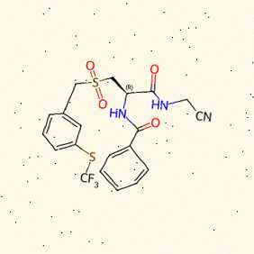 N#CCNC(=O)[C@H](CS(=O)(=O)Cc1cccc(SC(F)(F)F)c1)NC(=O)c1ccccc1